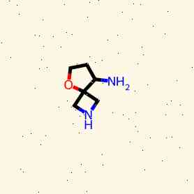 NC1CCOC12CNC2